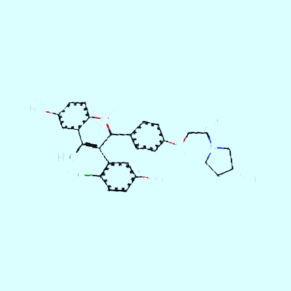 CC1=C(c2cc(O)ccc2F)C(c2ccc(OC[C@H](C)N3CC[C@@H](C)C3)cc2)Oc2ccc(O)cc21